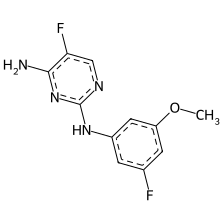 COc1cc(F)cc(Nc2ncc(F)c(N)n2)c1